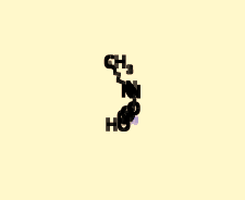 CCCCCCCCn1cc(CCOC(=O)/C=C\C(=O)O)nn1